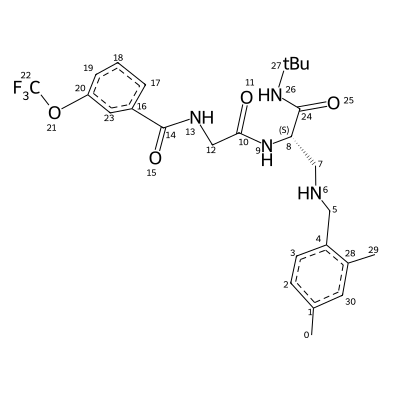 Cc1ccc(CNC[C@H](NC(=O)CNC(=O)c2cccc(OC(F)(F)F)c2)C(=O)NC(C)(C)C)c(C)c1